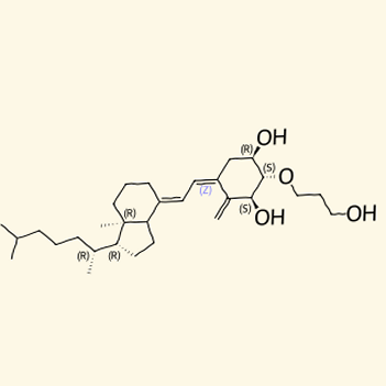 C=C1/C(=C\C=C2CCC[C@@]3(C)C2CC[C@@H]3[C@H](C)CCCC(C)C)C[C@@H](O)[C@H](OCCCO)[C@H]1O